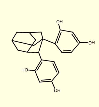 Oc1ccc(C2C3CC4CC(C3)CC2(c2ccc(O)cc2O)C4)c(O)c1